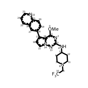 COc1nc(NC2CCN(CC(F)(F)F)CC2)nn2ccc(-c3ccc4ncccc4c3)c12